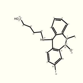 CN1c2ccccc2C(NCCCCC(=O)O)c2ccc(I)cc2[S+]1[O-]